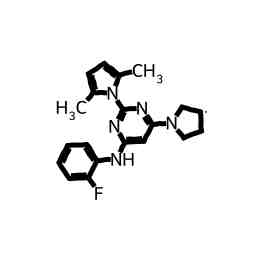 Cc1ccc(C)n1-c1nc(Nc2ccccc2F)cc(N2C[CH]CC2)n1